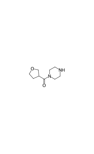 O=C(C1CCOC1)N1CCNCC1